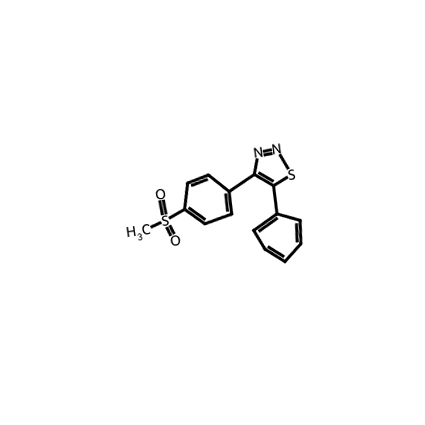 CS(=O)(=O)c1ccc(-c2nnsc2-c2ccccc2)cc1